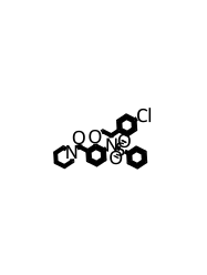 O=C(c1cccc2c1OCC(c1ccc(Cl)cc1)N2S(=O)(=O)c1ccccc1)N1CCCCC1